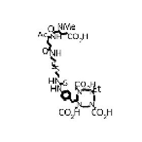 CCN1CCN(CC(=O)O)CCN(CC(=O)O)C(Cc2ccc(NC(=S)NCCSSCCNC(=O)CCC(NC(=O)C(CCC(=O)O)NC)C(C)=O)cc2)CN(CC(=O)O)CC1